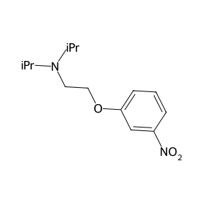 CC(C)N(CCOc1cccc([N+](=O)[O-])c1)C(C)C